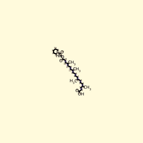 CC(=C/C=C/C(C)=C/C=C/C=C(C)/C=C/C=C(C)/C=C/C(=O)ONC(=O)N1CCCCC1)/C=C/C(=O)O